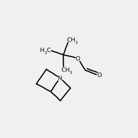 C1CN2CCC12.CC(C)(C)OC=O